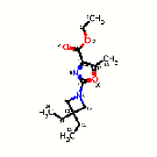 CCOC(=O)c1nc(N2CC(CC)(CC)C2)oc1C